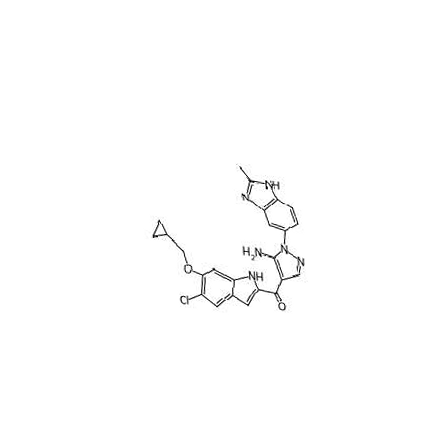 Cc1nc2cc(-n3ncc(C(=O)c4cc5cc(Cl)c(OCC6CC6)cc5[nH]4)c3N)ccc2[nH]1